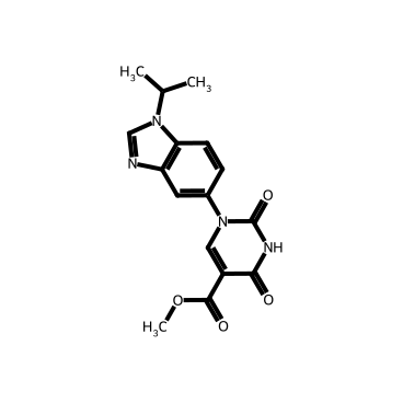 COC(=O)c1cn(-c2ccc3c(c2)ncn3C(C)C)c(=O)[nH]c1=O